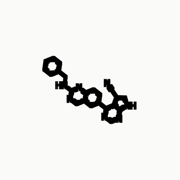 N#Cc1c[nH]c2ncnc(-c3ccc4nc(NCc5ccccc5)ncc4c3)c12